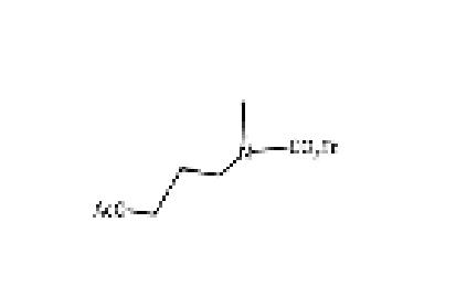 CCOC(=O)N(C)CCCOC(C)=O